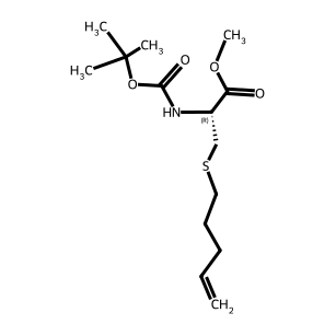 C=CCCCSC[C@H](NC(=O)OC(C)(C)C)C(=O)OC